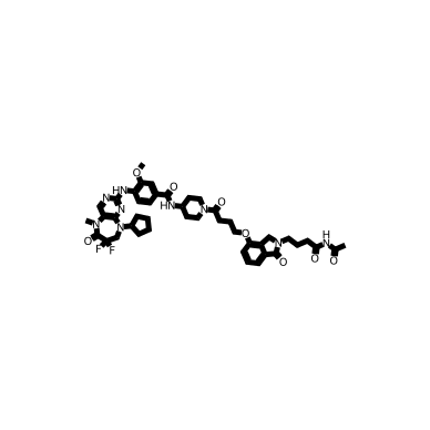 COc1cc(C(=O)NC2CCN(C(=O)CCCOc3cccc4c3CN(CCCC(=O)NC(C)=O)C4=O)CC2)ccc1Nc1ncc2c(n1)N(C1CCCC1)CC(F)(F)C(=O)N2C